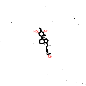 C=C1C(=C2CCC[C@]3(C)C([C@H](C)CC#C[Si](C)(C)O)CC[C@H]23)C[C@@H](O)/C(=C\C)C1O